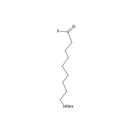 CCCCCCCCCCCCCCC(=O)F